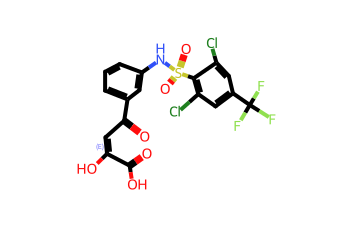 O=C(O)/C(O)=C\C(=O)c1cccc(NS(=O)(=O)c2c(Cl)cc(C(F)(F)F)cc2Cl)c1